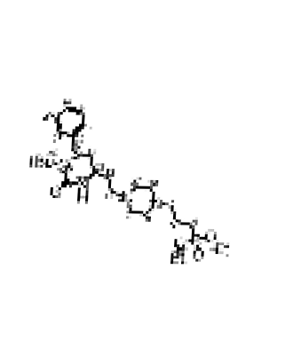 CCOP(=O)(CCCN1CCN(CCC(CSc2ccccc2)NC(=O)OC(C)(C)C)CC1)OCC